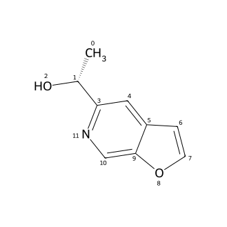 C[C@@H](O)c1cc2ccoc2cn1